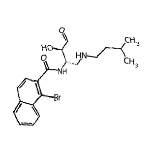 CC(C)CCNC[C@H](NC(=O)c1ccc2ccccc2c1Br)[C@@H](O)C=O